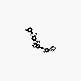 Fc1cccc(COc2ccc(Nc3ncnc4cc(C#C[C@@H]5C[C@H](N6CCOCC6)CN5)sc34)cc2Cl)c1